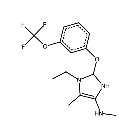 CCN1C(C)=C(NC)NC1Oc1cccc(OC(F)(F)F)c1